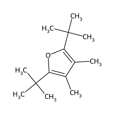 Cc1c(C(C)(C)C)oc(C(C)(C)C)c1C